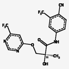 C[C@](O)(COc1cc(C(F)(F)F)ncn1)C(=O)Nc1ccc(C#N)c(C(F)(F)F)c1